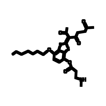 CCCCCCCOc1ccc(OC(=O)CCNC)c2c1S/C(=C(\C(C)=O)C(=O)CCC(C)=O)S2